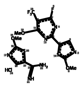 COc1ncc(-c2nc(F)c(C(F)(F)F)c(OC)n2)s1.COc1ncc(C(=N)N)s1.Cl